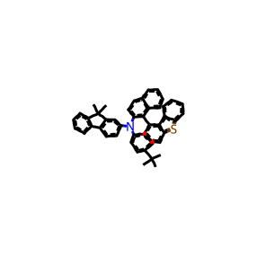 CC(C)(C)c1ccc(N(c2ccc3c(c2)C(C)(C)c2ccccc2-3)c2ccc3ccccc3c2-c2cccc3sc4ccccc4c23)cc1